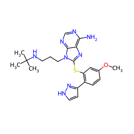 COc1ccc(-c2cc[nH]n2)c(Sc2nc3c(N)ncnc3n2CCCNC(C)(C)C)c1